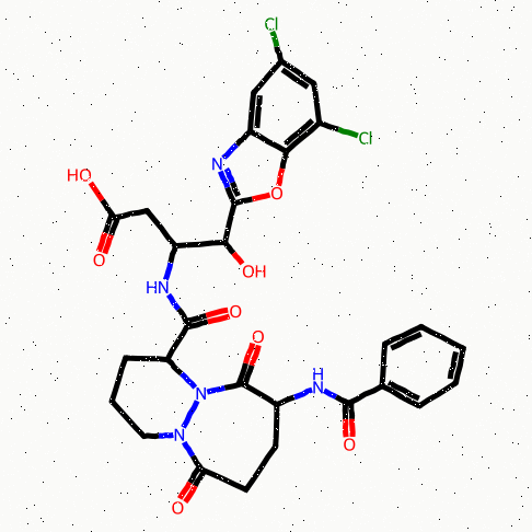 O=C(O)CC(NC(=O)C1CCCN2C(=O)CCC(NC(=O)c3ccccc3)C(=O)N12)C(O)c1nc2cc(Cl)cc(Cl)c2o1